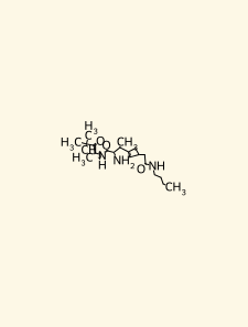 CCCCNC(=O)CC1C=C([C@@H](C)C(N)C(=O)N[C@@H](C)C(=O)C(C)(C)C)C1